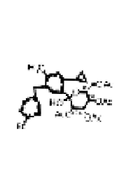 CCc1ccc(Cc2cc(C3(O)O[C@H](COC(C)=O)[C@@H](OC(C)=O)[C@H](OC(C)=O)[C@H]3OC(C)=O)c(C3CC3)cc2C)cc1